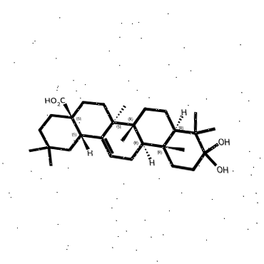 CC1(C)CC[C@]2(C(=O)O)CC[C@]3(C)C(=CC[C@@H]4[C@@]5(C)CCC(O)(O)C(C)(C)[C@@H]5CC[C@]43C)[C@@H]2C1